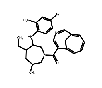 CCC1CC(C)CN(C(=O)C2=CN=CC3=CC=CC=C2C3)CC1Nc1ccc(Br)cc1N